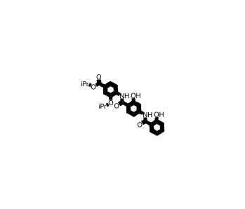 CC(C)OC(=O)c1ccc(NC(=O)c2ccc(NC(=O)c3ccccc3O)cc2O)c(OC(C)C)c1